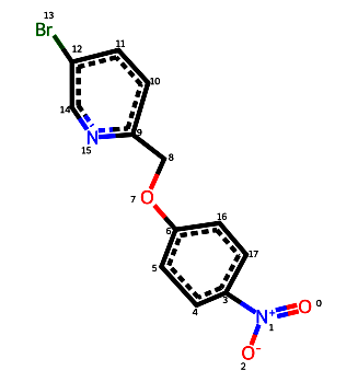 O=[N+]([O-])c1ccc(OCc2ccc(Br)cn2)cc1